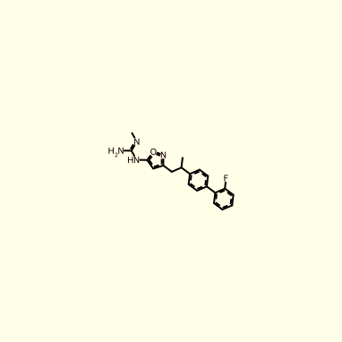 CN=C(N)Nc1cc(CC(C)c2ccc(-c3ccccc3F)cc2)no1